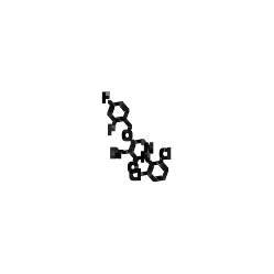 O=c1c(Br)c(OCc2ccc(F)cc2F)cnn1-c1c(Cl)cccc1Cl